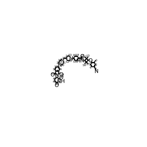 Cc1cc(C#N)ccc1O[C@H]1C(C)(C)[C@H](NC(=O)c2ccc(N3CCC(CN4CCN(c5ccc6c(c5)C(=O)N(C5CCC(=O)NC5=O)C6=O)CC4)CC3)cc2)C1(C)C